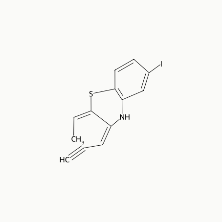 C#C/C=C1/Nc2cc(I)ccc2S/C1=C/C